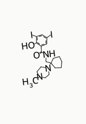 CN1CCN(C2(CNC(=O)c3cc(I)cc(I)c3O)CCCCC2)CC1